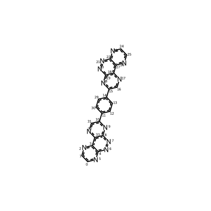 c1cnc2c(n1)nnc1nc(-c3ccc(-c4cnc5c(nnc6nccnc65)n4)cc3)cnc12